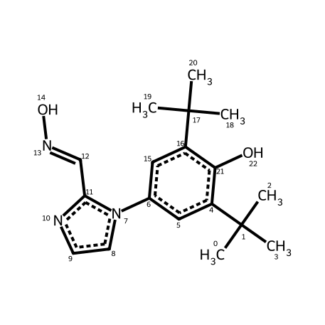 CC(C)(C)c1cc(-n2ccnc2C=NO)cc(C(C)(C)C)c1O